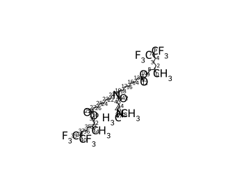 CC(CCC=C(C(F)(F)F)C(F)(F)F)CCOC(=O)CCCCCCCN(CCCCCCCC(=O)OCCC(C)CCC=C(C(F)(F)F)C(F)(F)F)C(=O)CCCN(C)C